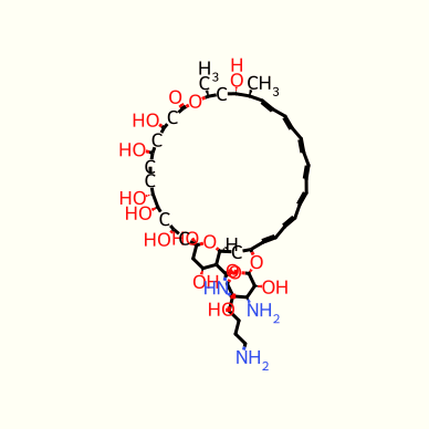 C[C@H]1C[C@H](O)[C@@H](C)/C=C/C=C/C=C/C=C/C=C/C=C/C=C/C(O[C@@H]2OC[C@@H](O)[C@H](N)[C@@H]2O)C[C@@H]2OC(O)(CC(O)C[C@@H](O)[C@H](O)CCC(O)CC(O)CC(=O)O1)C[C@H](O)C2C(=O)NCCCCCN